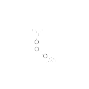 Cc1cc(OCC(CO)CO)cc(C)c1-c1cccc(COc2ccc(C3CC(=O)N[S+]3[O-])cc2)c1